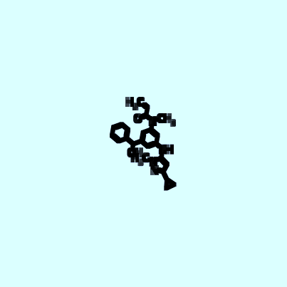 C=CC(=O)N(C)c1cc(Nc2cc(C3CC3)nn2C)cc(C(O)c2ccccc2)c1